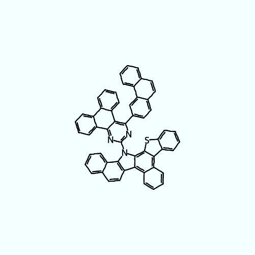 c1ccc2c(c1)ccc1ccc(-c3nc(-n4c5c6ccccc6ccc5c5c6ccccc6c6c7ccccc7sc6c54)nc4c5ccccc5c5ccccc5c34)cc12